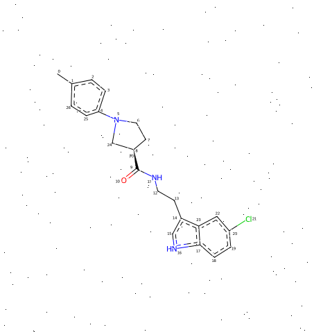 Cc1ccc(N2CC[C@@H](C(=O)NCCc3c[nH]c4ccc(Cl)cc34)C2)cc1